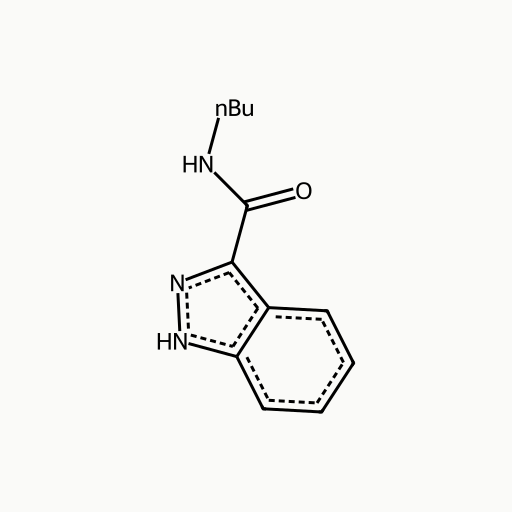 CCCCNC(=O)c1n[nH]c2ccccc12